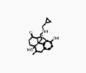 CC1Cc2ccc(O)c3c2C2(CCNCC4CC4)C(O3)C(=O)CCC12O